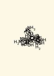 CC(=O)O[C@@H](CCN)C(=O)N[C@@H]1CC(N)[C@@H](O[C@H]2OC([C@@H](C)O)[C@@H](O)C(O)C2N)C(O[C@@H]2O[C@H](CNC(=N)N)C(O)C2O)C1O